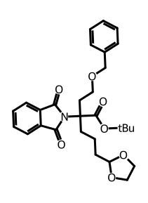 CC(C)(C)OC(=O)C(CCCC1OCCO1)(CCOCc1ccccc1)N1C(=O)c2ccccc2C1=O